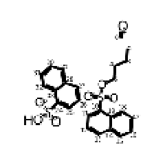 C=O.CCCCOS(=O)(=O)c1cccc2ccccc12.O=S(=O)(O)c1cccc2ccccc12